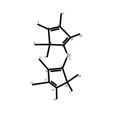 CC1=C(C)C(C)(C)[C]([Zr][C]2=C(C)C(C)=C(C)C2(C)C)=C1C